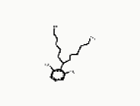 CCCCCCC(CCCCCC)c1c(C)cccc1N